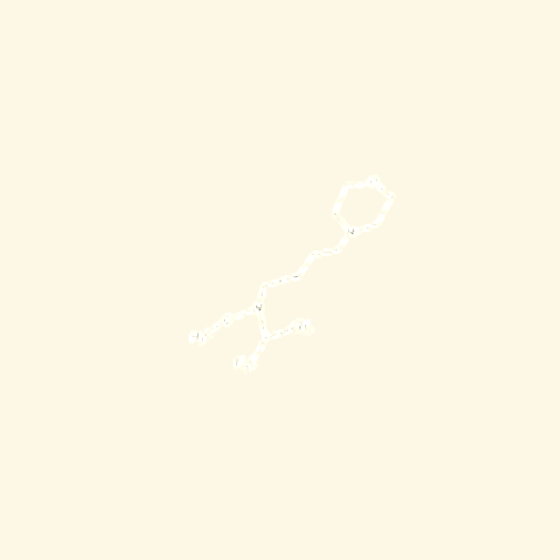 CCN(CCCCN1CCOCC1)C(C)C